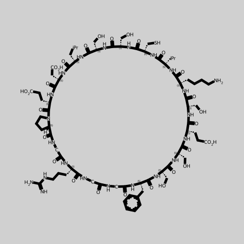 CC(C)C[C@@H]1NC(=O)[C@H](CO)NC(=O)[C@H](CO)NC(=O)[C@H](CS)NC(=O)[C@H](C(C)C)NC(=O)[C@H](CCCCN)NC(=O)[C@H](CO)NC(=O)[C@H](CCC(=O)O)NC(=O)[C@H](CO)NC(=O)[C@H](CO)NC(=O)[C@H](Cc2ccccc2)NC(=O)CNC(=O)CNC(=O)[C@H](CCCNC(=N)N)NC(=O)CNC(=O)[C@@H]2CCCN2C(=O)[C@H](CCC(=O)O)NC(=O)[C@H](CC(=O)O)NC1=O